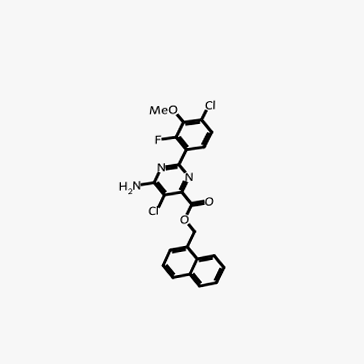 COc1c(Cl)ccc(-c2nc(N)c(Cl)c(C(=O)OCc3cccc4ccccc34)n2)c1F